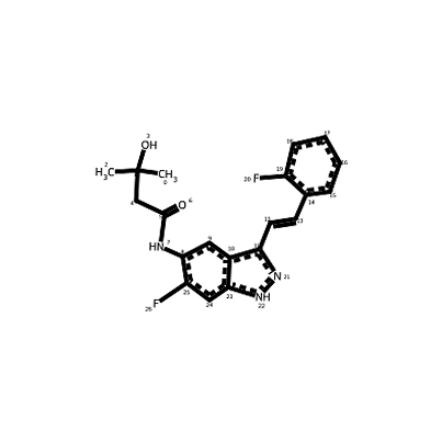 CC(C)(O)CC(=O)Nc1cc2c(C=Cc3ccccc3F)n[nH]c2cc1F